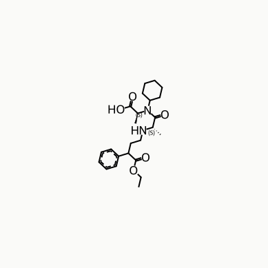 CCOC(=O)C(CCN[C@@H](C)C(=O)N(C1CCCCC1)[C@@H](C)C(=O)O)c1ccccc1